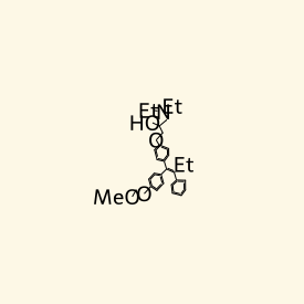 CCC(=C(c1ccc(OCOC)cc1)c1ccc(OCC(O)CN(CC)CC)cc1)c1ccccc1